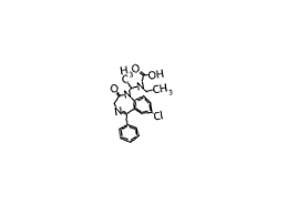 CCN(C(=O)O)C(C)N1C(=O)CN=C(c2ccccc2)c2cc(Cl)ccc21